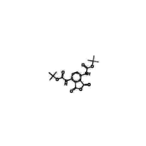 CC(C)(C)OC(=O)Nc1ccc(NC(=O)OC(C)(C)C)c2c1C(=O)OC2=O